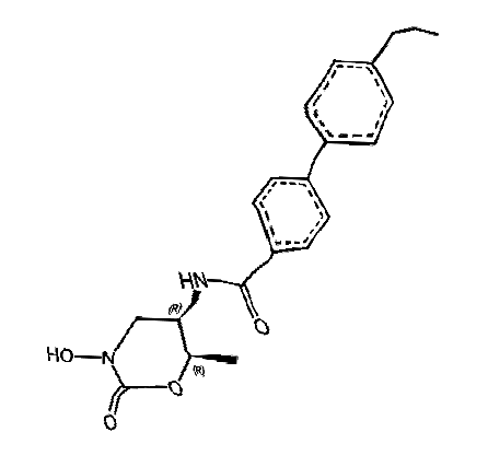 CCc1ccc(-c2ccc(C(=O)N[C@@H]3CN(O)C(=O)O[C@@H]3C)cc2)cc1